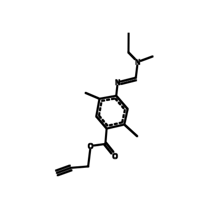 C#CCOC(=O)c1cc(C)c(/N=C/N(C)CC)cc1C